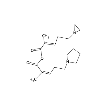 CC(=CCCN1CCCC1)C(=O)OC(=O)C(C)=CCCN1CC1